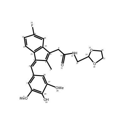 COc1cc(C=C2C(C)=C(CC(=O)NCC3OCCO3)c3cc(F)ccc32)cc(OC)c1O